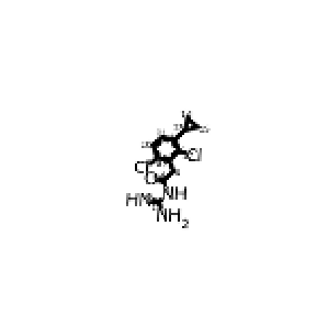 N=C(N)NC(=O)Cc1c(Cl)ccc(C2CC2)c1Cl